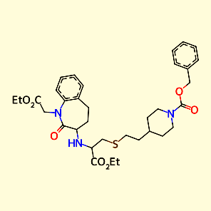 CCOC(=O)CN1C(=O)C(NC(CSCCC2CCN(C(=O)OCc3ccccc3)CC2)C(=O)OCC)CCc2ccccc21